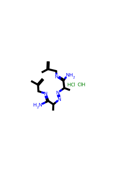 C=C(C)CN=C(N)C(C)N=NC(C)C(N)=NCC(=C)C.Cl.Cl